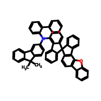 CC1(C)c2ccccc2-c2cc(N(c3ccccc3C3=CC=CCC3)c3cccc4c3-c3ccccc3C43c4ccccc4-c4c3ccc3c4oc4ccccc43)ccc21